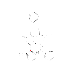 CNC(O)c1cc(=O)c(OCc2ccccc2)c2n1N(C(c1ccccc1)c1ccccc1)CN(C(C)C)C2=O